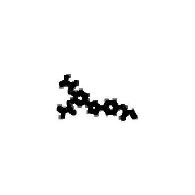 C=CC(=O)Oc1ccc(-c2ccc(-c3ccc(OC(=O)C(=C)C)c(OC(=O)C(=C)C)c3)o2)cc1